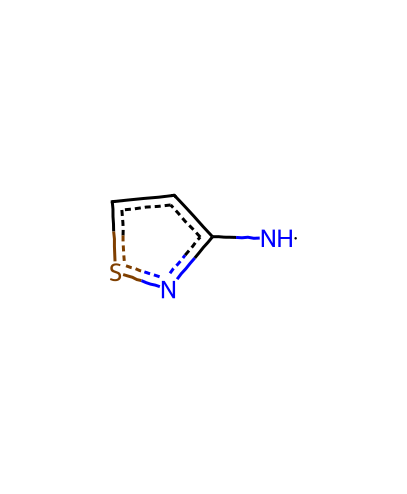 [NH]c1ccsn1